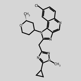 C[C@@H]1CC(n2c(Cc3nc(C4CC4)n(C)n3)nc3cnc4ccc(Cl)cc4c32)CCO1